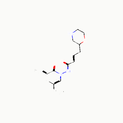 C=CC(=O)N(C=C(C)C(=O)O)NC(=O)C=CCC1CNCCO1